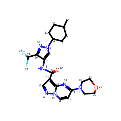 CC1CCC(n2cc(NC(=O)c3cnn4ccc(N5CCOCC5)nc34)c(C(F)F)n2)CC1